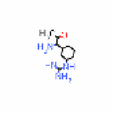 CC(=O)C(N)C1CCCC(NC(=N)N)C1